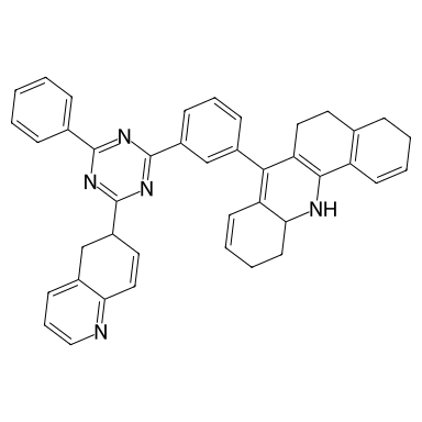 C1=CC2=C(CC1)CCC1=C2NC2CCC=CC2=C1c1cccc(-c2nc(-c3ccccc3)nc(C3C=Cc4ncccc4C3)n2)c1